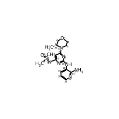 C[C@@H]1COCCN1c1cc(N=S(C)(C)=O)nc(Nc2cccnc2N)n1